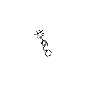 CC1(C)OB(c2cnn(CN3CCCCC3)c2)OC1(C)C